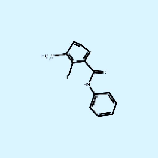 O=C(O)c1cccc(C(=O)Nc2ccccc2)c1F